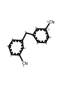 N#Cc1c[c]cc(Cc2c[c]cc(C#N)c2)c1